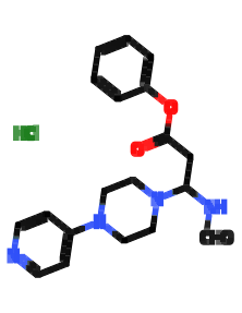 Cl.O=CNC(CC(=O)Oc1ccccc1)N1CCN(c2ccncc2)CC1